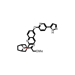 COCC(=O)N1CC2CCC(C1)N2Cc1ccc2cc(Oc3ccc(-c4ccn[nH]4)cn3)ccc2n1